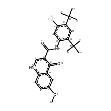 COc1ccc2[nH]cc(C(=O)Nc3cc(O)c(C(C)(C)C)cc3C(C)(C)C)c(=O)c2c1